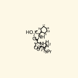 CC(C)C[C@H](N)C(=O)N[C@@H](CC(=O)O)C(=O)N[C@H](C(=O)O)C1CCCCC1